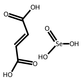 O=C(O)/C=C/C(=O)O.O=[Se](O)O